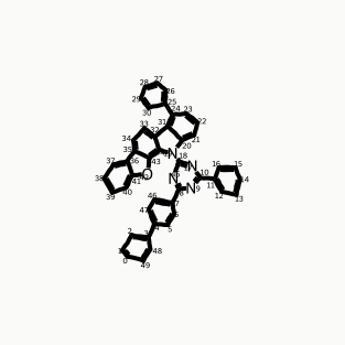 c1ccc(-c2ccc(-c3nc(-c4ccccc4)nc(-n4c5cccc(-c6ccccc6)c5c5ccc6c7ccccc7oc6c54)n3)cc2)cc1